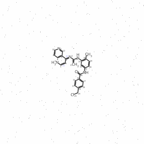 C=C(/N=C(\C=C/N)c1cccnc1)Nc1cc(NC(=O)c2ccc(CCl)cc2)ccc1C